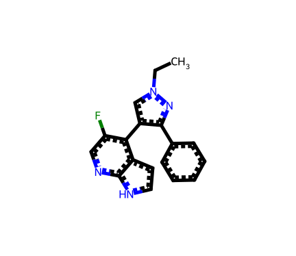 CCn1cc(-c2c(F)cnc3[nH]ccc23)c(-c2ccccc2)n1